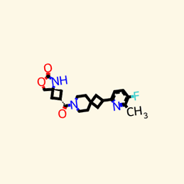 Cc1nc(C2CC3(CCN(C(=O)[C@H]4C[C@]5(COC(=O)N5)C4)CC3)C2)ccc1F